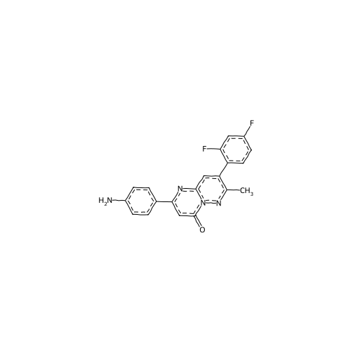 Cc1nn2c(=O)cc(-c3ccc(N)cc3)nc2cc1-c1ccc(F)cc1F